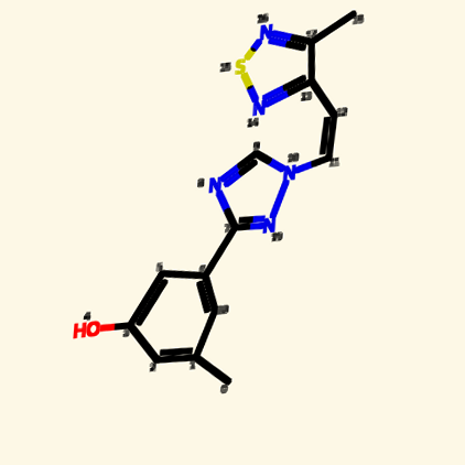 Cc1cc(O)cc(-c2ncn(/C=C\c3nsnc3C)n2)c1